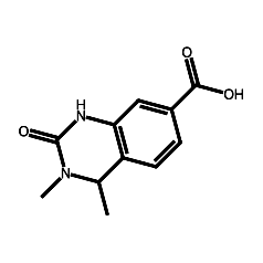 CC1c2ccc(C(=O)O)cc2NC(=O)N1C